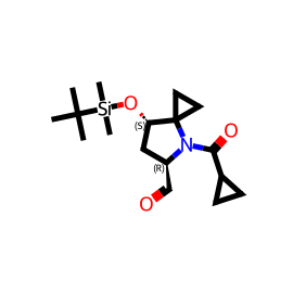 CC(C)(C)[Si](C)(C)O[C@H]1C[C@H](C=O)N(C(=O)C2CC2)C12CC2